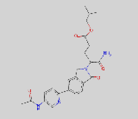 CC(=O)Nc1ccc(-c2ccc3c(c2)CN(C(CCC(=O)OCC(C)C)C(N)=O)C3=O)nc1